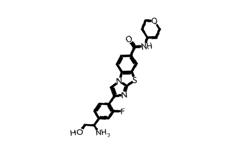 NC(CO)c1ccc(-c2cn3c(n2)sc2cc(C(=O)NC4CCOCC4)ccc23)c(F)c1